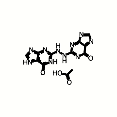 CC(=O)O.O=C1N=C(NNc2nc3nc[nH]c3c(=O)[nH]2)N=C2N=CN=C12